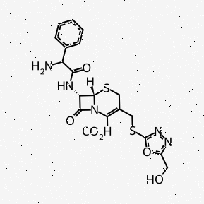 NC(C(=O)N[C@H]1C(=O)N2C(C(=O)O)=C(CSc3nnc(CO)o3)CS[C@@H]12)c1ccccc1